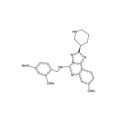 COc1ccc(CNc2nc3cc(OC)ccc3c3nc([C@@H]4CCCNC4)nn23)c(OC)c1